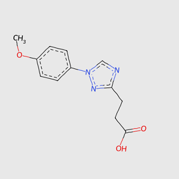 COc1ccc(-n2cnc(CCC(=O)O)n2)cc1